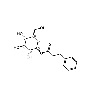 OC[C@H]1O[C@@H](OC(=S)CCc2ccccc2)[C@H](O)[C@@H](O)[C@@H]1O